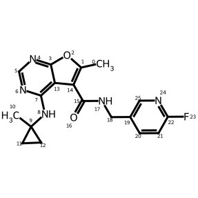 Cc1oc2ncnc(NC3(C)CC3)c2c1C(=O)NCc1ccc(F)nc1